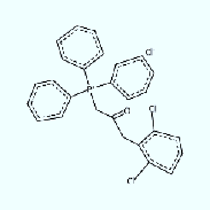 O=C(Cc1c(Cl)cccc1Cl)C[P+](c1ccccc1)(c1ccccc1)c1ccccc1.[Cl-]